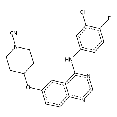 N#CN1CCC(Oc2ccc3ncnc(Nc4ccc(F)c(Cl)c4)c3c2)CC1